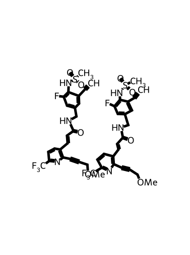 C#Cc1cc(CNC(=O)C=Cc2ccc(C(F)(F)F)nc2C#CCOC)cc(F)c1NS(C)(=O)=O.C#Cc1cc(CNC(=O)C=Cc2ccc(C(F)(F)F)nc2C#CCOC)cc(F)c1NS(C)(=O)=O